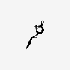 O=c1ccc(OCC#CI)n[nH]1